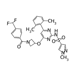 Cc1cccc(C)c1-c1cc(OC2CN(C(=O)c3ccc(C(F)F)cc3)C2)nc(NS(=O)(=O)c2cnn(C)c2)n1